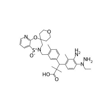 CCN(N)c1ccc(C(c2ccc(C)c(CN3CC4(CCOCC4)Oc4ncccc4[S+]3[O-])c2)C(C)(C)C(=O)O)c(C)c1N